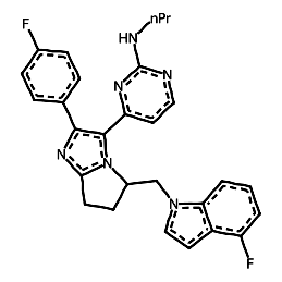 CCCNc1nccc(-c2c(-c3ccc(F)cc3)nc3n2C(Cn2ccc4c(F)cccc42)CC3)n1